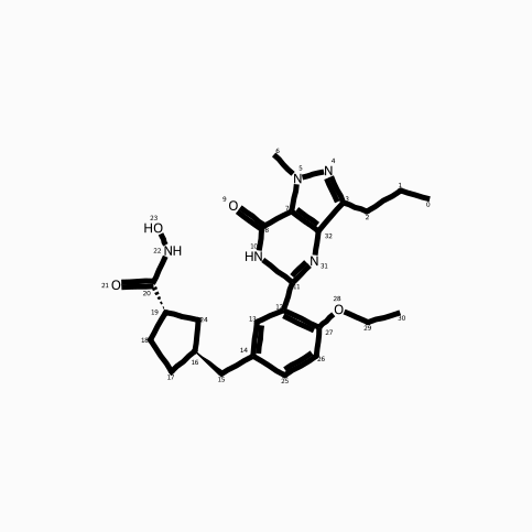 CCCc1nn(C)c2c(=O)[nH]c(-c3cc(C[C@H]4CC[C@H](C(=O)NO)C4)ccc3OCC)nc12